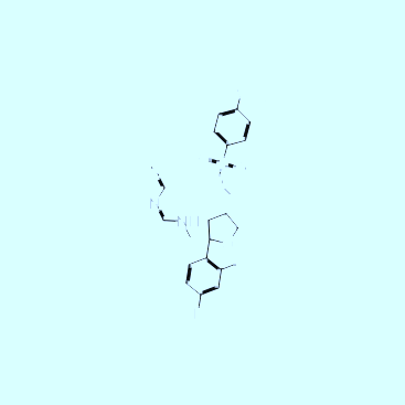 Cc1ccc(S(=O)(=O)OC[C@@H]2CO[C@@](CN/C=N\C=N)(c3ccc(F)cc3F)C2)cc1